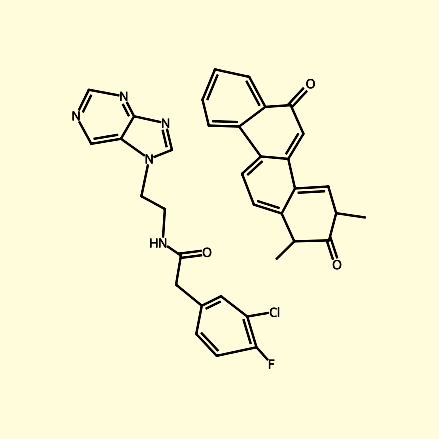 CC1C=c2c(ccc3c2=CC(=O)c2ccccc2-3)C(C)C1=O.O=C(Cc1ccc(F)c(Cl)c1)NCCn1cnc2ncncc21